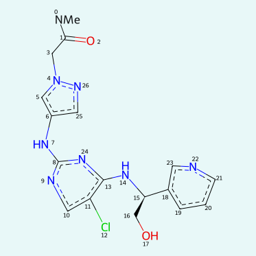 CNC(=O)Cn1cc(Nc2ncc(Cl)c(N[C@H](CO)c3cccnc3)n2)cn1